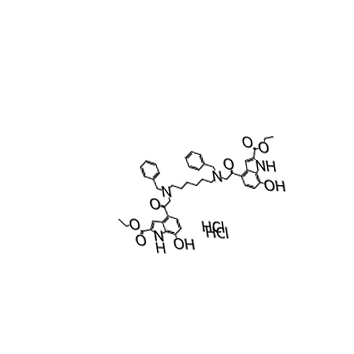 CCOC(=O)c1cc2c(C(=O)CN(CCCCCCN(CC(=O)c3ccc(O)c4[nH]c(C(=O)OCC)cc34)Cc3ccccc3)Cc3ccccc3)ccc(O)c2[nH]1.Cl.Cl